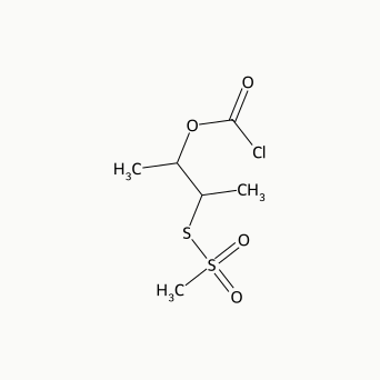 CC(OC(=O)Cl)C(C)SS(C)(=O)=O